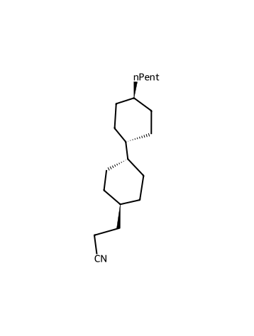 CCCCC[C@H]1CC[C@H]([C@H]2CC[C@H](CCC#N)CC2)CC1